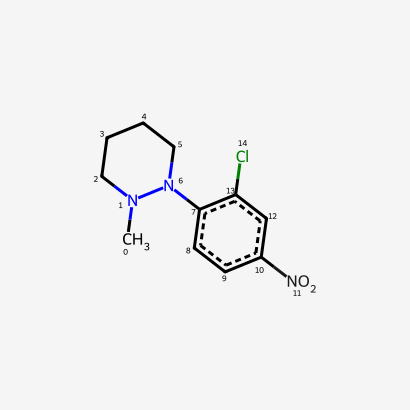 CN1CCCCN1c1ccc([N+](=O)[O-])cc1Cl